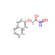 O=C(COc1ccc2ccccc2c1)NO